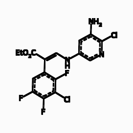 CCOC(=O)C(=CNc1cnc(Cl)c(N)c1)c1cc(F)c(F)c(Cl)c1F